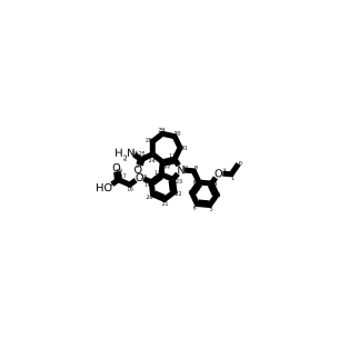 CCOc1ccccc1Cn1c2c(c3c(OCC(=O)O)cccc31)C(C(N)=O)CCCC2